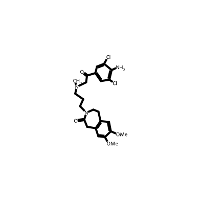 COc1cc2c(cc1OC)CC(=O)N(CCCN(C)CC(=O)c1cc(Cl)c(N)c(Cl)c1)CC2